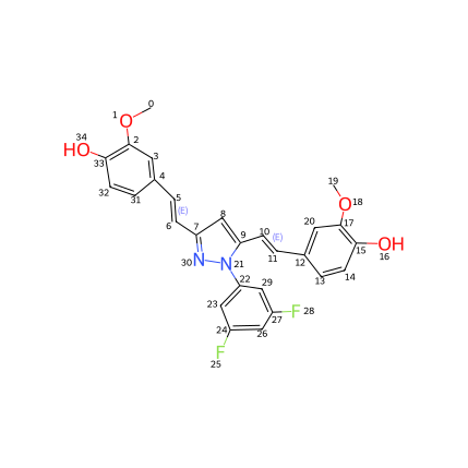 COc1cc(/C=C/c2cc(/C=C/c3ccc(O)c(OC)c3)n(-c3cc(F)cc(F)c3)n2)ccc1O